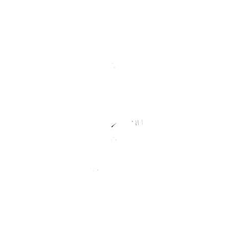 CCSc1ccc([C@H](COCCOC)NC)cc1